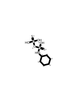 OP(O)(=S)OP(O)(=S)NC1CCCCC1